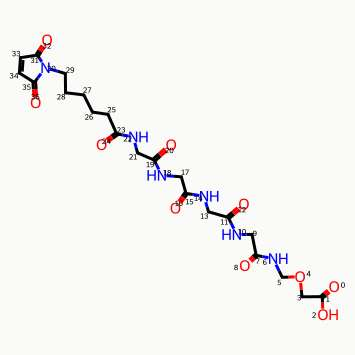 O=C(O)COCNC(=O)CNC(=O)CNC(=O)CNC(=O)CNC(=O)CCCCCN1C(=O)C=CC1=O